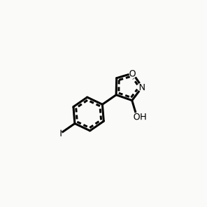 Oc1nocc1-c1ccc(I)cc1